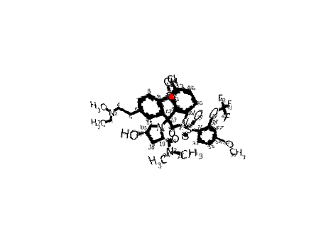 CCN(C)CCc1ccc(OC)c(C2(N3C[C@H](O)C[C@H]3C(=O)N(C)C)C(=O)N(S(=O)(=O)c3ccc(OC)cc3OC(F)(F)F)c3ccc(Cl)cc32)c1